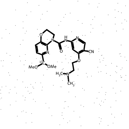 CO[13CH](OC)c1ccc2c(n1)N(C(=O)Nc1cc(OCCN(C)C)c(C#N)cn1)CCO2